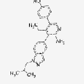 CCc1c(-c2ccc(O)cc2)cnc(N)c1-c1ccc2c(cnn2C[C](C)C)c1